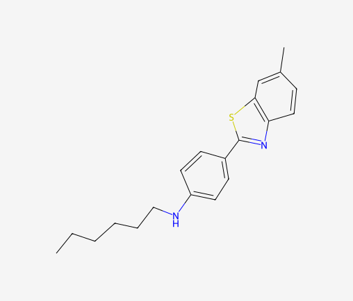 CCCCCCNc1ccc(-c2nc3ccc(C)cc3s2)cc1